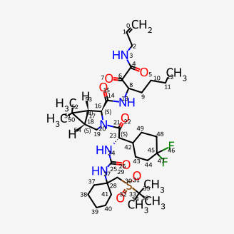 C=CCNC(=O)C(=O)C(CCCC)NC(=O)[C@@H]1[C@@H]2[C@H](CN1C(=O)[C@@H](NC(=O)NC1(CS(=O)(=O)C(C)(C)C)CCCCC1)C1CCC(F)(F)CC1)C2(C)C